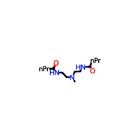 CCCC(=O)NCCN(C)CCNC(=O)CCC